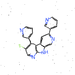 Fc1cnc2[nH]c3cnc(-c4cccnc4)cc3c2c1-c1cccnc1